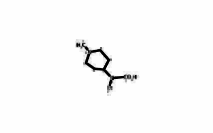 CCN(C(=O)O)C1CCN(C)CC1